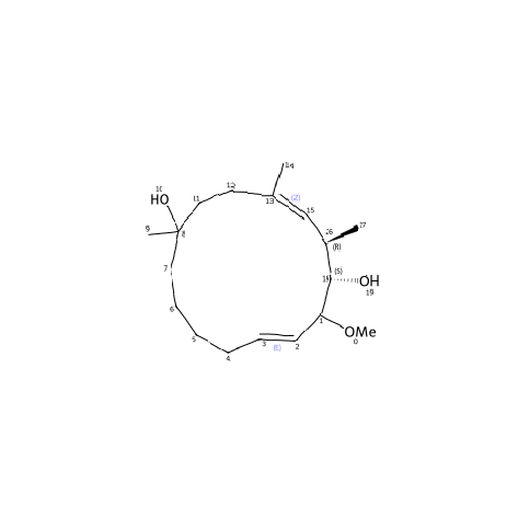 COC1/C=C/CCCCC(C)(O)CC/C(C)=C\[C@@H](C)[C@@H]1O